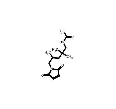 CC(=O)NCC(C)(C)CC(C)CN1C(=O)C=CC1=O